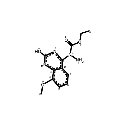 CCOC(=O)N(N)c1nc(O)nc2c(OC)cccc12